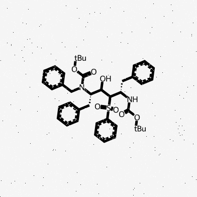 CC(C)(C)OC(=O)N[C@@H](Cc1ccccc1)C(C(O)[C@H](Cc1ccccc1)N(Cc1ccccc1)C(=O)OC(C)(C)C)S(=O)(=O)c1ccccc1